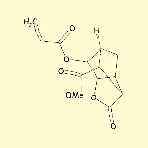 C=CC(=O)OC1C2OC(=O)C3C2C[C@H]1C3C(=O)OC